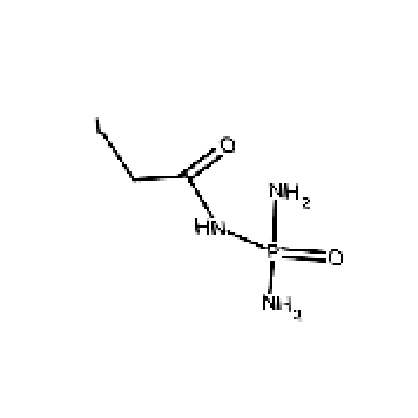 NP(N)(=O)NC(=O)CI